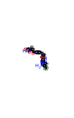 COc1cc2nc(C)nc(NC(C)c3cc(N)cc(C(F)(F)F)c3)c2cc1OC1CCN(CC2CCC3(CC2)CCN(C(=O)c2ccc(Cl)c(-n4ccc(=O)[nH]c4=O)c2)CC3)CC1